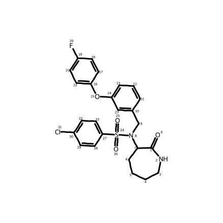 O=C1NCCCCC1N(Cc1cccc(Oc2ccc(F)cc2)c1)S(=O)(=O)c1ccc(Cl)cc1